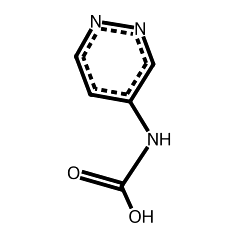 O=C(O)Nc1ccnnc1